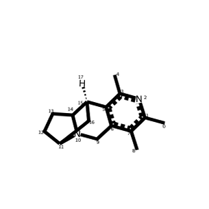 Cc1nc(C)c2c(c1C)CN1C3CCC1[C@@H]2C3